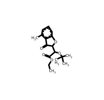 CCOC(=O)C(OC(C)(C)C)C1Oc2cccc(C)c2C1=O